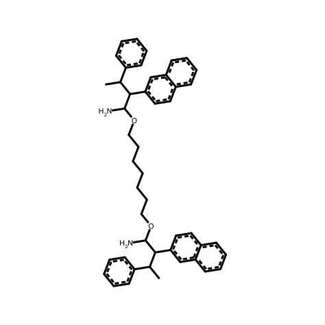 CC(c1ccccc1)C(c1ccc2ccccc2c1)C(N)OCCCCCCCOC(N)C(c1ccc2ccccc2c1)C(C)c1ccccc1